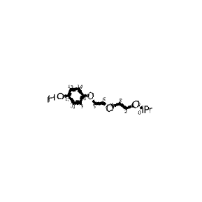 CC(C)OCCOCCOc1ccc(O)cc1